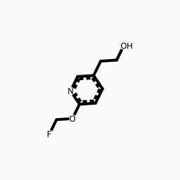 OCCc1ccc(OCF)nc1